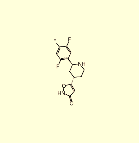 O=c1cc([C@H]2CCN[C@H](c3cc(F)c(F)cc3F)C2)o[nH]1